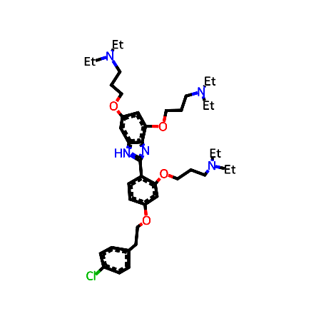 CCN(CC)CCCOc1cc(OCCCN(CC)CC)c2nc(-c3ccc(OCCc4ccc(Cl)cc4)cc3OCCCN(CC)CC)[nH]c2c1